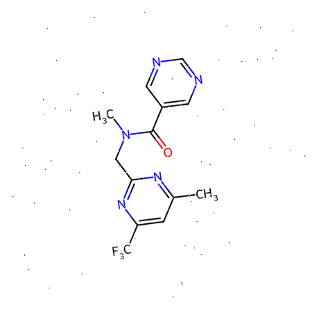 Cc1cc(C(F)(F)F)nc(CN(C)C(=O)c2cncnc2)n1